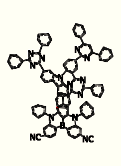 [C-]#[N+]c1ccc2c(c1)N(c1ccccc1)c1cc(-c3ccc4c(c3)c3ccc(-c5nc(-c6ccccc6)nc(-c6ccccc6)n5)cc3n4-c3ccc(-c4nc(-c5ccccc5)cc(-c5ccccc5)n4)cc3-c3nc(-c4ccccc4)nc(-c4ccccc4)n3)cc3c1B2c1ccc(C#N)cc1N3c1ccccc1